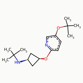 CC(C)(C)N[C@H]1C[C@@H](Oc2ccc(OC(C)(C)C)cn2)C1